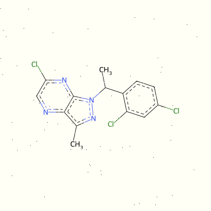 Cc1nn(C(C)c2ccc(Cl)cc2Cl)c2nc(Cl)cnc12